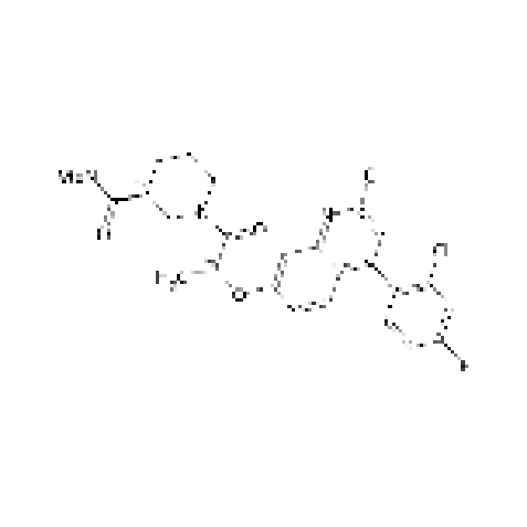 CNC(=O)[C@H]1CCCN(C(=O)[C@@H](C)Oc2ccc3c(-c4ccc(F)cc4Cl)cc(Cl)nc3c2)C1